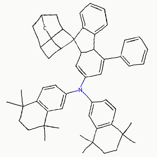 CC1(C)CCC(C)(C)c2cc(N(C3=CC4C(C(c5ccccc5)=C3)c3ccccc3C43C4CC5CC6CC3C64C5)c3ccc4c(c3)C(C)(C)CCC4(C)C)ccc21